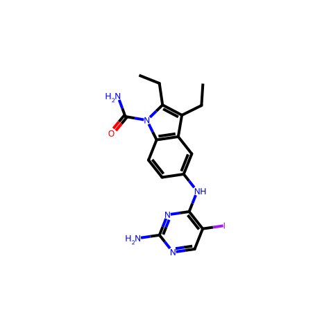 CCc1c(CC)n(C(N)=O)c2ccc(Nc3nc(N)ncc3I)cc12